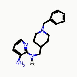 CCN(CC1CCN(Cc2ccccc2)CC1)c1ncccc1N